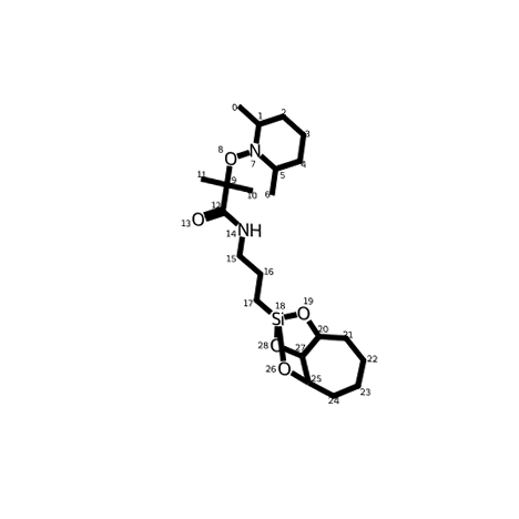 CC1CCCC(C)N1OC(C)(C)C(=O)NCCC[Si]12OC3CCCCC(O1)C3O2